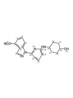 CC(C)COc1cccc2c1cnn2-c1ccnc(NC2CCC(O)CC2)n1